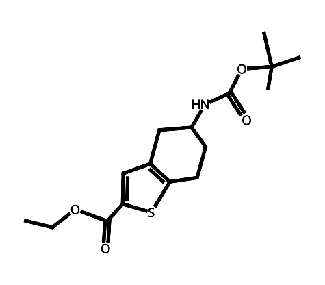 CCOC(=O)c1cc2c(s1)CCC(NC(=O)OC(C)(C)C)C2